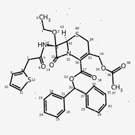 CCO[C@@]1(NC(=O)Cc2cccs2)C(=O)N2C(C(=O)OC(c3ccccc3)c3ccccc3)=C(COC(C)=O)CS[C@@H]21